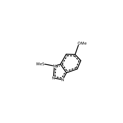 COc1ccc2nnn(SC)c2c1